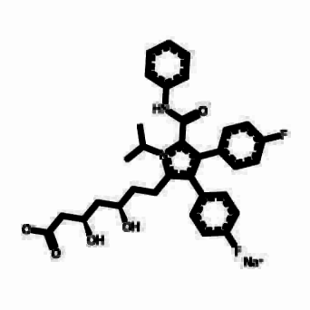 CC(C)n1c(CC[C@@H](O)C[C@@H](O)CC(=O)[O-])c(-c2ccc(F)cc2)c(-c2ccc(F)cc2)c1C(=O)Nc1ccccc1.[Na+]